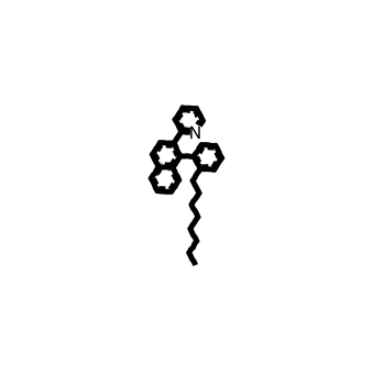 CCCCCCCCc1ccccc1-c1c(-c2ccccn2)ccc2ccccc12